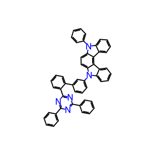 c1ccc(-c2nc(-c3ccccc3)nc(-c3ccccc3-c3cccc(-n4c5ccccc5c5c6c7ccccc7n(-c7ccccc7)c6ccc54)c3)n2)cc1